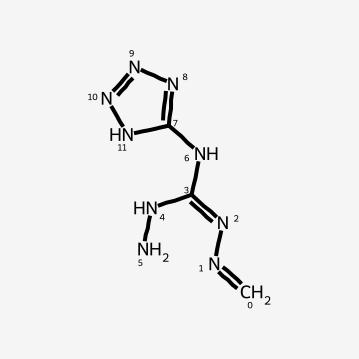 C=N/N=C(\NN)Nc1nnn[nH]1